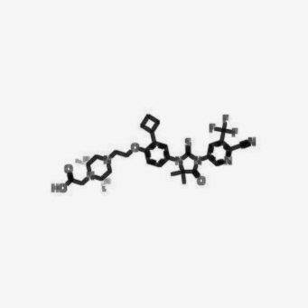 C[C@@H]1CN(CCOc2ccc(N3C(=S)N(c4cnc(C#N)c(C(F)(F)F)c4)C(=O)C3(C)C)cc2C2CCC2)C[C@H](C)N1CC(=O)O